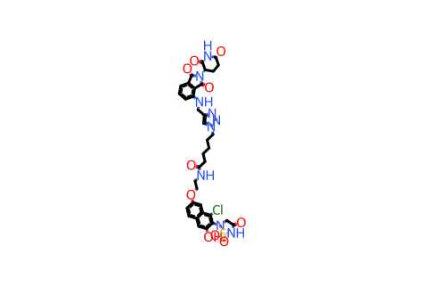 O=C(CCCCCn1cc(CNc2cccc3c2C(=O)N(C2CCC(=O)NC2=O)C3=O)nn1)NCCOc1ccc2cc(O)c(N3CC(=O)NS3(=O)=O)c(Cl)c2c1